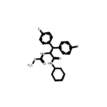 COC(=O)NC(C(=O)NC1CCCCC1)C(c1ccc(F)cc1)c1ccc(F)cc1